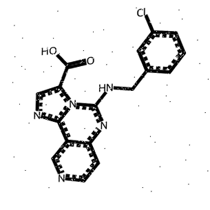 O=C(O)c1cnc2c3cnccc3nc(NCc3cccc(Cl)c3)n12